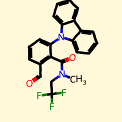 CN(CC(F)(F)F)C(=O)c1c(C=O)cccc1-n1c2ccccc2c2ccccc21